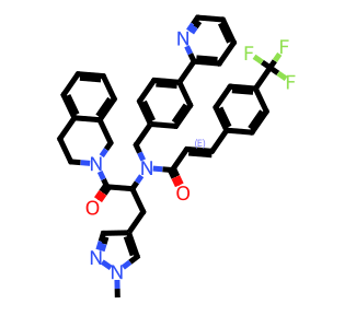 Cn1cc(CC(C(=O)N2CCc3ccccc3C2)N(Cc2ccc(-c3ccccn3)cc2)C(=O)/C=C/c2ccc(C(F)(F)F)cc2)cn1